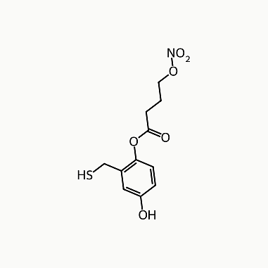 O=C(CCCO[N+](=O)[O-])Oc1ccc(O)cc1CS